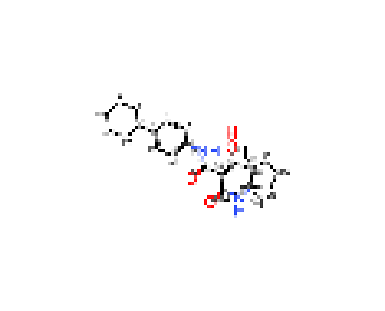 O=C(Nc1ccc(C2CCCCC2)cc1)C1=C(O)[C@@H]2CCC[C@@H]2NC1=O